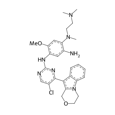 COc1cc(N(C)CCN(C)C)c(N)cc1Nc1ncc(Cl)c(-c2c3n(c4ccccc24)CCOC3)n1